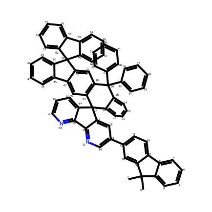 CC1(C)c2ccccc2-c2ccc(-c3cnc4c(c3)C3(c5ccccc5C(c5ccccc5)(c5ccccc5)c5cc6c(cc53)-c3ccccc3C63c5ccccc5-c5ccccc53)c3cccnc3-4)cc21